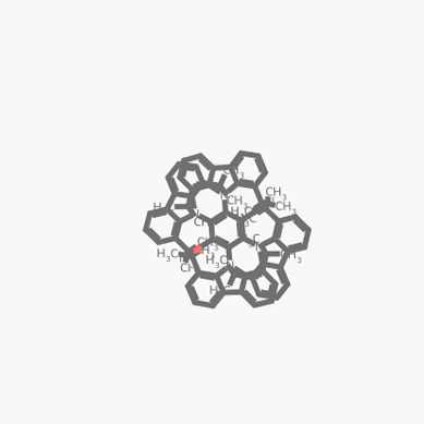 CC(C)c1cccc2c3cccc(C(C)C)c3n(-c3c(C#N)c(-n4c5c(C(C)C)cccc5c5cccc(C(C)C)c54)c(-n4c5c(C(C)C)cccc5c5cccc(C(C)C)c54)c(C#N)c3-n3c4c(C(C)C)cccc4c4cccc(C(C)C)c43)c12